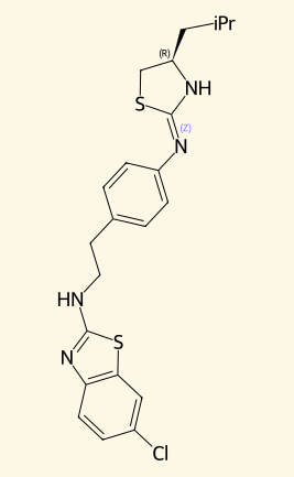 CC(C)C[C@@H]1CS/C(=N\c2ccc(CCNc3nc4ccc(Cl)cc4s3)cc2)N1